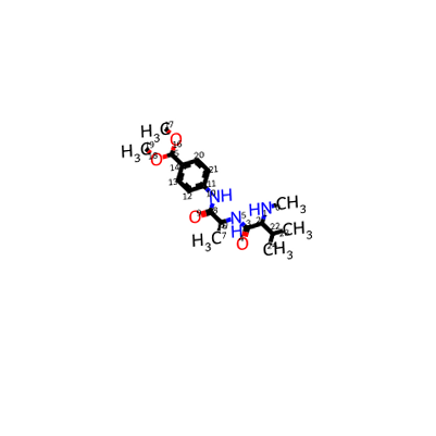 CNC(C(=O)N[C@@H](C)C(=O)Nc1ccc(C(OC)OC)cc1)C(C)C